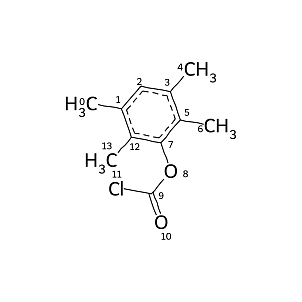 Cc1cc(C)c(C)c(OC(=O)Cl)c1C